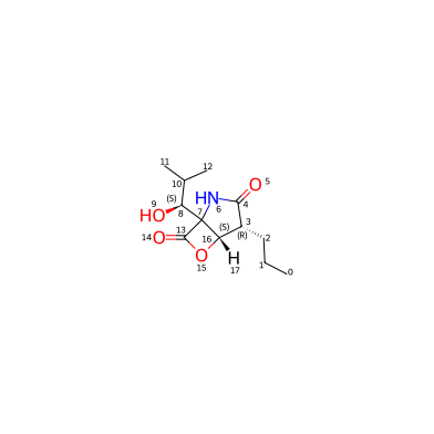 CCC[C@H]1C(=O)NC2([C@@H](O)C(C)C)C(=O)O[C@@H]12